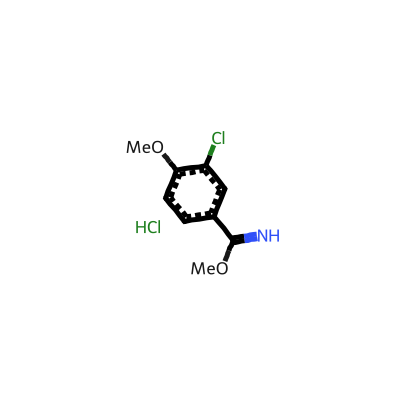 COC(=N)c1ccc(OC)c(Cl)c1.Cl